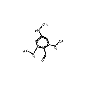 CNc1cc(NC)c(C=O)c(NC)c1